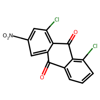 O=C1c2cccc(Cl)c2C(=O)c2c(Cl)cc([N+](=O)[O-])cc21